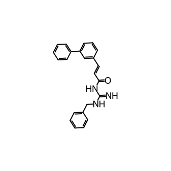 N=C(NCc1ccccc1)NC(=O)C=Cc1cccc(-c2ccccc2)c1